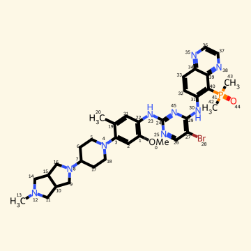 COc1cc(N2CCC(N3CC4CN(C)CC4C3)CC2)c(C)cc1Nc1ncc(Br)c(Nc2ccc3nccnc3c2P(C)(C)=O)n1